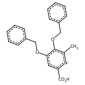 Cc1nc(C(=O)O)cc(OCc2ccccc2)c1OCc1ccccc1